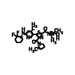 Cc1cc(N[C@@H]2CCCCC2(F)F)ncc1-c1sc(C(=O)NCC(C)(C)O)nc1C(=O)N1CCC[C@@H]1C